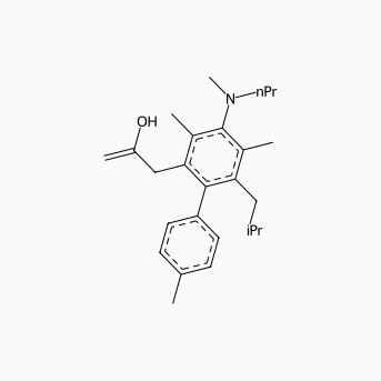 C=C(O)Cc1c(C)c(N(C)CCC)c(C)c(CC(C)C)c1-c1ccc(C)cc1